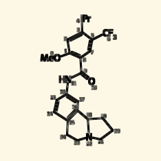 COc1cc(C(C)C)c(C(F)(F)F)cc1C(=O)Nc1ccc2c(c1)C1CCCN1CC2